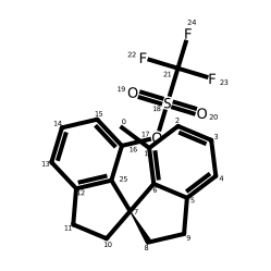 Cc1cccc2c1[C@]1(CC2)CCc2cccc(OS(=O)(=O)C(F)(F)F)c21